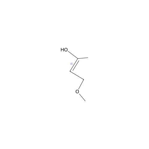 COC/C=C(\C)O